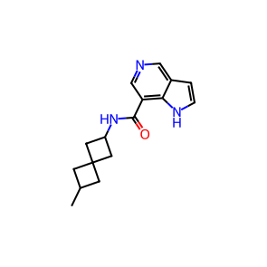 CC1CC2(C1)CC(NC(=O)c1cncc3cc[nH]c13)C2